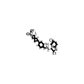 CCC1N=C2C=CC(Cl)=CN2[C@H]1CNCc1ccc(C2CC3(C2)CN([S+]([O-])C(F)(F)F)C3)cc1